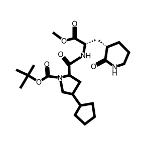 COC(=O)[C@H](C[C@@H]1CCCNC1=O)NC(=O)C1CC(C2CCCC2)CN1C(=O)OC(C)(C)C